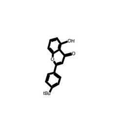 CC(C)(C)c1ccc(-c2cc(=O)c3c(O)cccc3o2)cc1